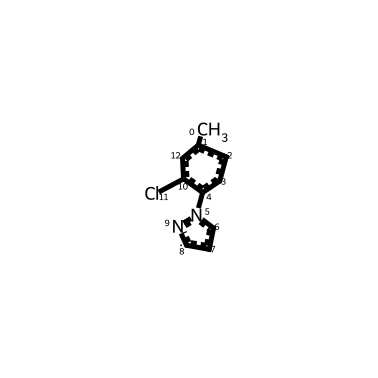 Cc1ccc(-n2cc[c]n2)c(Cl)c1